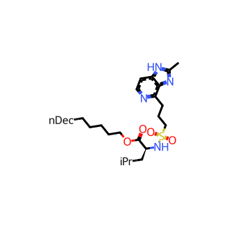 CCCCCCCCCCCCCCCOC(=O)[C@H](CC(C)C)NS(=O)(=O)CCCc1nccc2[nH]c(C)nc12